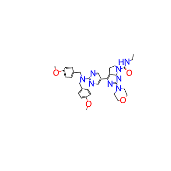 CCNC(=O)N1CCc2c(-c3cnc(N(Cc4ccc(OC)cc4)Cc4ccc(OC)cc4)nc3)nc(N3CCOCC3)nc21